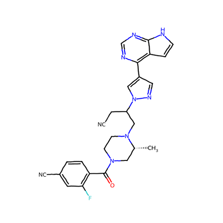 C[C@@H]1CN(C(=O)c2ccc(C#N)cc2F)CCN1CC(CC#N)n1cc(-c2ncnc3[nH]ccc23)cn1